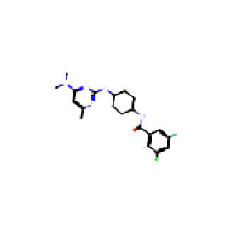 Cc1cc(N(C)C)nc(NC2CCC(NC(=O)c3cc(Cl)cc(Cl)c3)CC2)n1